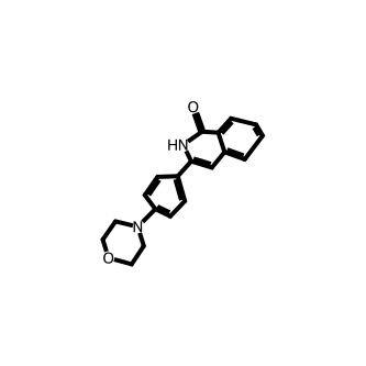 O=c1[nH]c(-c2ccc(N3CCOCC3)cc2)cc2ccccc12